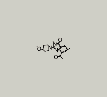 COC1CCN(c2nc3c(C(C)=O)cc(C)cc3c(=O)n2C)CC1